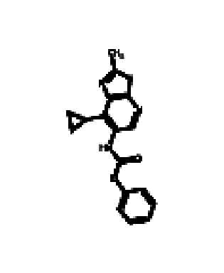 Cc1nc2c(C3CC3)c(NC(=O)Oc3ccccc3)cnc2s1